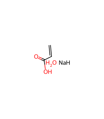 C=CC(=O)O.O.[NaH]